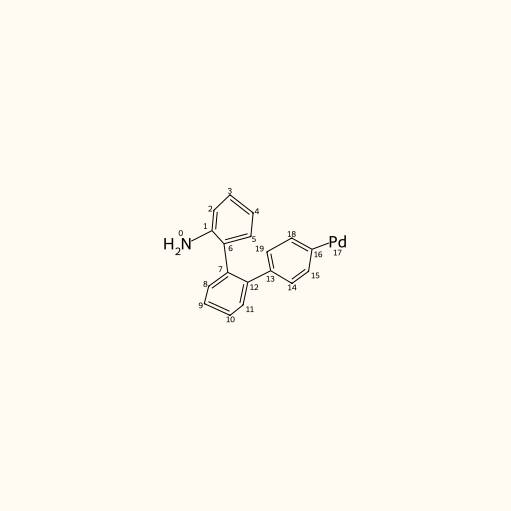 Nc1ccccc1-c1ccccc1-c1cc[c]([Pd])cc1